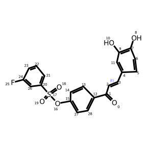 O=C(/C=C/c1ccc(O)c(O)c1)c1ccc(OS(=O)(=O)c2cccc(F)c2)cc1